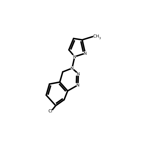 Cc1ccn(N2Cc3ccc(Cl)cc3N=N2)n1